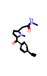 C#Cc1ccc(C(=O)c2ccc(CC(=O)NC)n2C)cc1